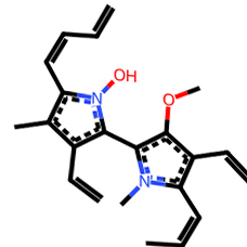 C=C/C=C\c1c(C)c(C=C)c(-c2c(OC)c(C=C)c(/C=C\C)n2C)n1O